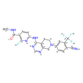 CNC(=O)c1ccc(Nc2ncnc3c2CCN(c2ccc(C#N)c(C(F)(F)F)c2)C3)nc1F